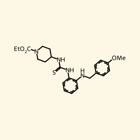 CCOC(=O)N1CCC(NC(=S)Nc2ccccc2NCc2ccc(OC)cc2)CC1